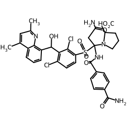 Cc1cc(C)c2cccc(C(O)c3c(Cl)ccc(S(=O)(=O)C(CC(N)=O)(NC(=O)c4ccc(C(N)=O)cc4)N4CCCC4C(=O)O)c3Cl)c2n1